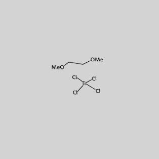 COCCOC.[Cl][Ti]([Cl])([Cl])[Cl]